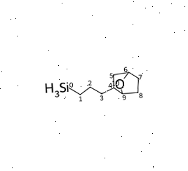 [SiH3]CCCC1CC2CCC1O2